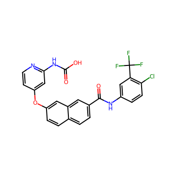 O=C(O)Nc1cc(Oc2ccc3ccc(C(=O)Nc4ccc(Cl)c(C(F)(F)F)c4)cc3c2)ccn1